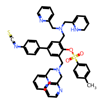 Cc1ccc(S(=O)(=O)Oc2c(CN(CC3=CC=CCN3)Cc3ccccn3)cc(-c3ccc(N=C=S)cc3)cc2CN(Cc2ccccn2)Cc2ccccn2)cc1